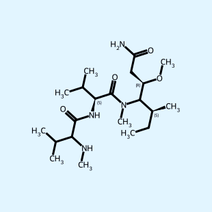 CC[C@H](C)C([C@@H](CC(N)=O)OC)N(C)C(=O)[C@@H](NC(=O)C(NC)C(C)C)C(C)C